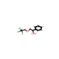 OC(COCC(F)(F)F)c1ccccc1